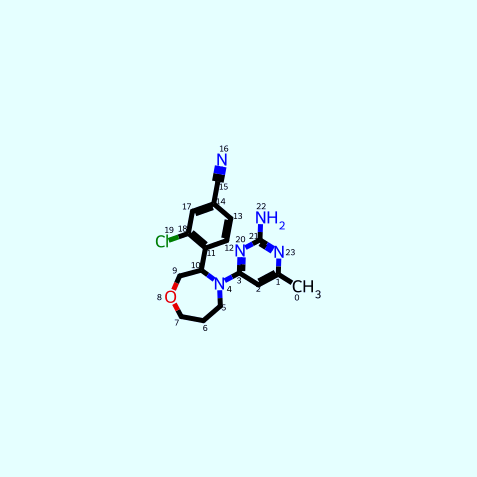 Cc1cc(N2CCCOCC2c2ccc(C#N)cc2Cl)nc(N)n1